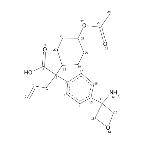 C=CCC(C(=O)O)(c1ccc(C2(N)COC2)cc1)C1CCC(OC(C)=O)CC1